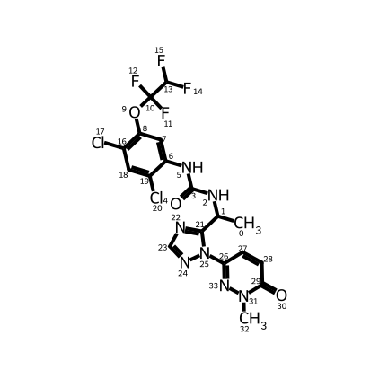 CC(NC(=O)Nc1cc(OC(F)(F)C(F)F)c(Cl)cc1Cl)c1ncnn1-c1ccc(=O)n(C)n1